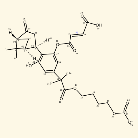 CC1(C)[C@H]2C[C@H]1[C@H](c1c(O)cc(C(F)(F)C(=O)OCCCCO[N+](=O)[O-])cc1OC(=O)/C=C/C(=O)O)CC2=O